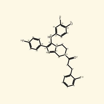 O=C(CCc1ccccc1F)N1CCn2c(nc(-c3ccc(F)cc3)c2Nc2ccc(Cl)c(F)c2)C1